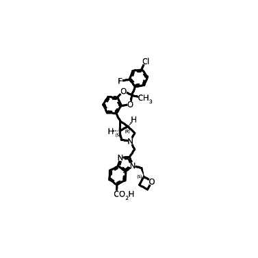 CC1(c2ccc(Cl)cc2F)Oc2cccc(C3[C@H]4CN(Cc5nc6ccc(C(=O)O)cc6n5C[C@@H]5CCO5)C[C@@H]34)c2O1